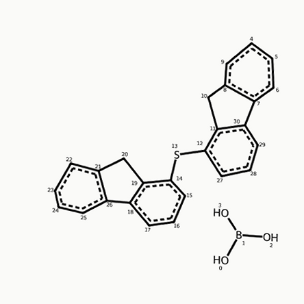 OB(O)O.c1ccc2c(c1)Cc1c(Sc3cccc4c3Cc3ccccc3-4)cccc1-2